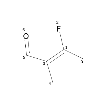 C/C(F)=C(\C)C=O